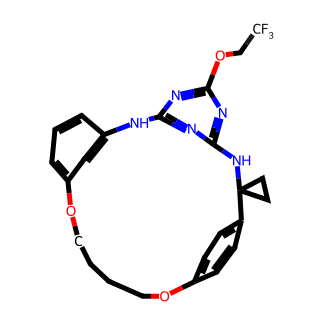 FC(F)(F)COc1nc2nc(n1)NC1(CC1)c1ccc(cc1)OCCCCOc1cccc(c1)N2